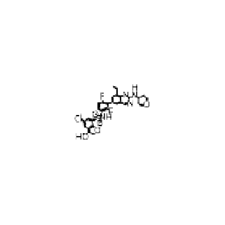 CCc1cc(-c2c(F)ccc(NS(=O)(=O)c3cc(Cl)cc4c3OCC4O)c2F)cc2cnc(NC3CCOCC3)nc12